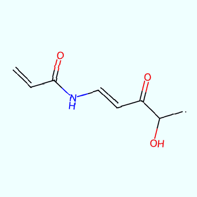 [CH2]C(O)C(=O)C=CNC(=O)C=C